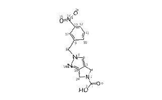 O=C(O)N1Cc2cn(Cc3cccc([N+](=O)[O-])c3)nc2C1